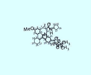 COc1ccc2c(c1)C1CC1(C(=O)NC1CCCC1)Cn1c-2c(C2CCCCC2)c2ccc(C(=O)NS(=O)(=O)N(C)C)cc21